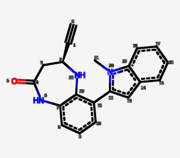 C#C[C@@H]1CC(=O)Nc2cccc(-c3cc4ccccc4n3C)c2N1